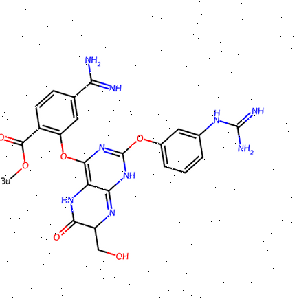 CC(C)(C)OC(=O)c1ccc(C(=N)N)cc1OC1=C2NC(=O)C(CO)N=C2NC(Oc2cccc(NC(=N)N)c2)=N1